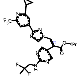 CC(C)OC(=O)/C(=C/n1cnc(-c2cc(C3CC3)nc(C(F)(F)F)c2)n1)c1cnc(NCC(C)(F)F)nc1